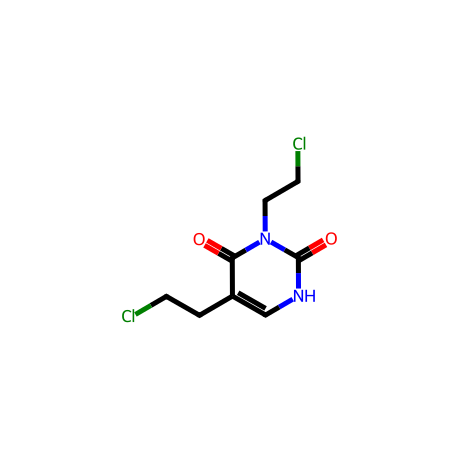 O=c1[nH]cc(CCCl)c(=O)n1CCCl